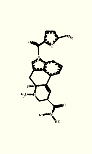 CCN(CC)C(=O)[C@@H]1C=C2c3cccc4c3c(cn4C(=O)c3ccc(C(C)(C)C)o3)C[C@H]2N(C)C1